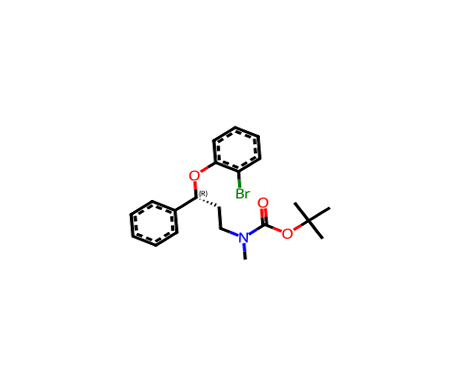 CN(CC[C@@H](Oc1ccccc1Br)c1ccccc1)C(=O)OC(C)(C)C